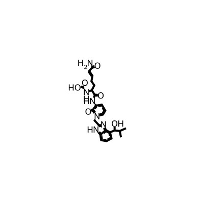 CC(C)C(O)c1cccc2[nH]c(Cn3cccc(NC(=O)C(CC/C=C/C(N)=O)NC(=O)O)c3=O)nc12